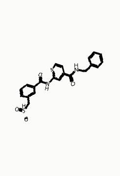 O=C(NCc1ccccc1)c1ccnc(NC(=O)c2cccc(C[SH](=O)=O)c2)c1